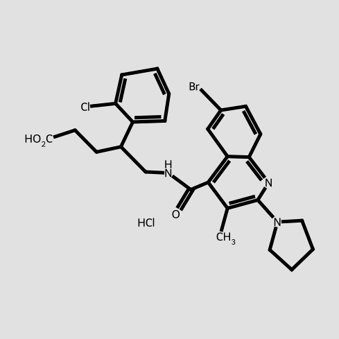 Cc1c(N2CCCC2)nc2ccc(Br)cc2c1C(=O)NCC(CCC(=O)O)c1ccccc1Cl.Cl